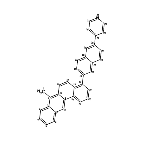 Cc1c2ccccc2cc2c1ccc1c(-c3ccc4cc(-c5ccncc5)ccc4c3)cccc12